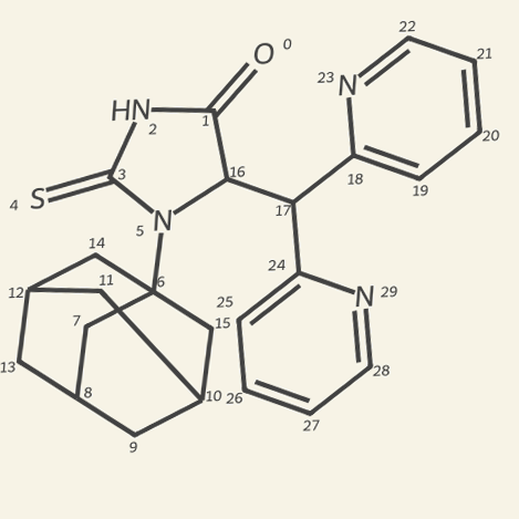 O=C1NC(=S)N(C23CC4CC(CC(C4)C2)C3)C1C(c1ccccn1)c1ccccn1